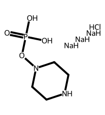 Cl.O=P(O)(O)ON1CCNCC1.[NaH].[NaH].[NaH]